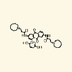 O=C(CCN1CCCCCCC1)Nc1ccc2c(c1)C(=O)c1ccc(NC(=O)CCN3CCCCCCC3)cc1C2=O.O=C(O)/C=C\C(=O)O